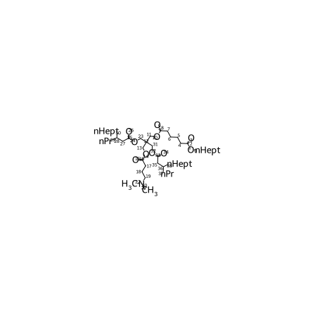 CCCCCCCOC(=O)CCCCC(=O)OCC(COC(=O)CCCN(C)C)(COC(=O)CC(CCC)CCCCCCC)COC(=O)CC(CCC)CCCCCCC